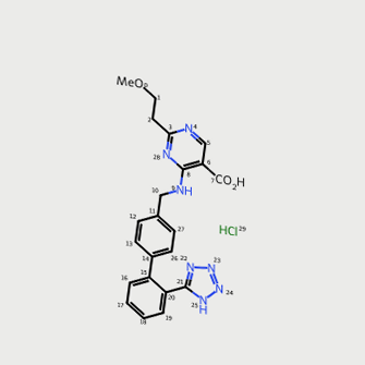 COCCc1ncc(C(=O)O)c(NCc2ccc(-c3ccccc3-c3nnn[nH]3)cc2)n1.Cl